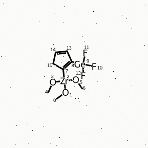 C[O][Zr]([O]C)([O]C)[C]1=[C]([Ge]([F])([F])[F])C=CC1